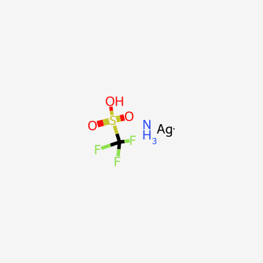 N.O=S(=O)(O)C(F)(F)F.[Ag]